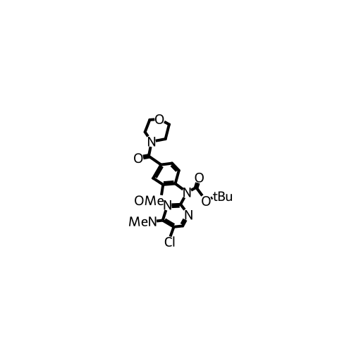 CNc1nc(N(C(=O)OC(C)(C)C)c2ccc(C(=O)N3CCOCC3)cc2OC)ncc1Cl